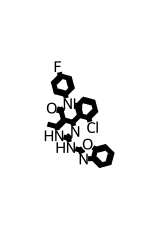 CC1=C(C(=O)Nc2ccc(F)cc2)C(c2ccccc2Cl)N=C(Nc2nc3ccccc3o2)N1